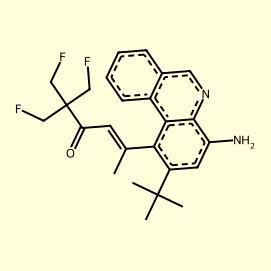 CC(=CC(=O)C(CF)(CF)CF)c1c(C(C)(C)C)cc(N)c2ncc3ccccc3c12